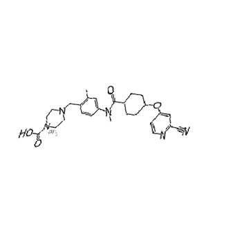 Cc1cc(N(C)C(=O)C2CCC(Oc3ccnc(C#N)c3)CC2)ccc1CN1CCN(C(=O)O)[C@@H](C)C1